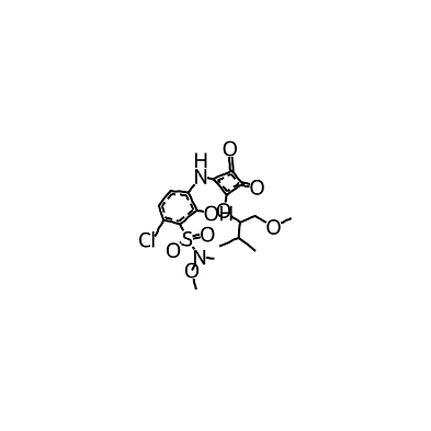 COCC(Oc1c(Nc2ccc(Cl)c(S(=O)(=O)N(C)OC)c2O)c(=O)c1=O)C(C)C